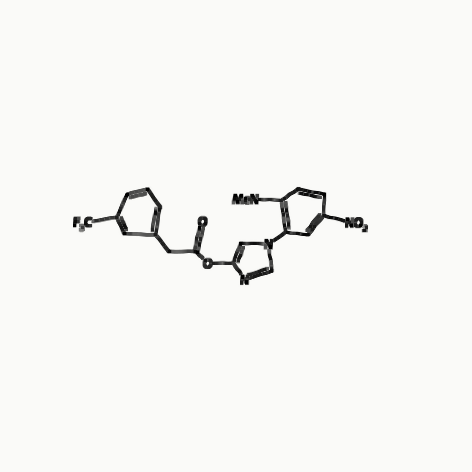 CNc1ccc([N+](=O)[O-])cc1-n1cnc(OC(=O)Cc2cccc(C(F)(F)F)c2)c1